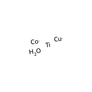 O.[Co].[Cu].[Ti]